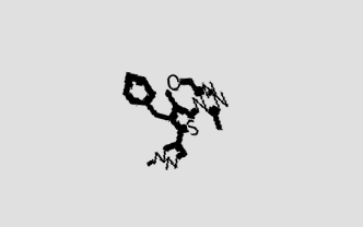 Cc1nnc2n1-c1sc(-c3cnn(C)c3)c(Cc3ccccc3)c1COC2